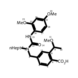 CCCCCCCN(Cc1ccc(C(=O)O)c(C(C)OC)c1)C(=O)Nc1ccc(OC)cc1OC